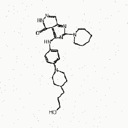 O=c1[nH]ncc2nc(N3CCCCCC3)nc(Nc3ccc(N4CCC(CCCO)CC4)cc3)c12